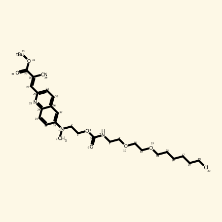 CN(CCOC(=O)NCCOCCOCCCCCCCl)c1ccc2nc(/C=C(\C#N)C(=O)OC(C)(C)C)ccc2c1